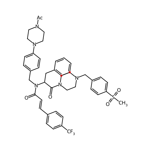 CC(=O)N1CCN(c2ccc(CN(C(=O)C=Cc3ccc(C(F)(F)F)cc3)C(Cc3ccccc3)C(=O)N3CCN(Cc4ccc(S(C)(=O)=O)cc4)CC3)cc2)CC1